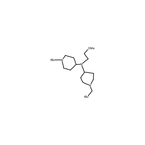 COCCN(C1CCN(CC(C)(C)C)CC1)C1CCN(C(C)(C)C)CC1